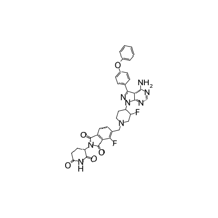 Nc1ncnc2c1c(-c1ccc(Oc3ccccc3)cc1)nn2C1CCN(Cc2ccc3c(c2F)C(=O)N(C2CCC(=O)NC2=O)C3=O)CC1F